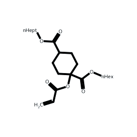 C=CC(=O)OC1(C(=O)OCCCCCC)CCC(C(=O)OCCCCCCC)CC1